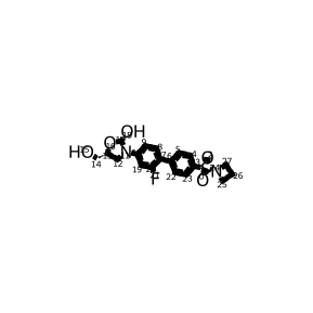 O=S(=O)(c1ccc(-c2ccc(N3C[C@H](CO)OC3O)cc2F)cc1)N1CCC1